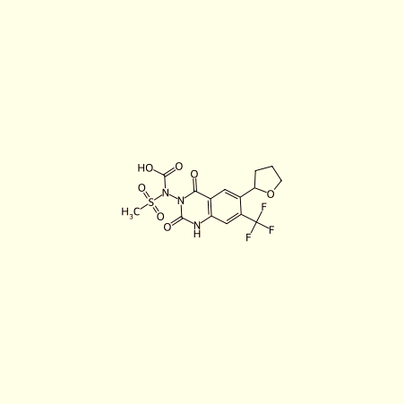 CS(=O)(=O)N(C(=O)O)n1c(=O)[nH]c2cc(C(F)(F)F)c(C3CCCO3)cc2c1=O